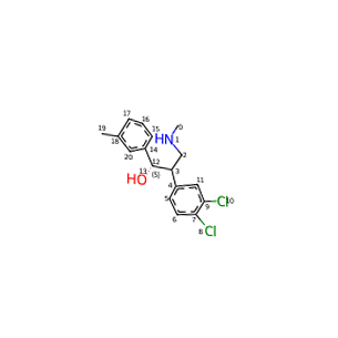 CNCC(c1ccc(Cl)c(Cl)c1)[C@H](O)c1cccc(C)c1